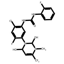 CN1C(C(F)(F)F)=CC(O)N(c2cc(NC(=O)Nc3ccccc3F)c(Cl)cc2F)C1O